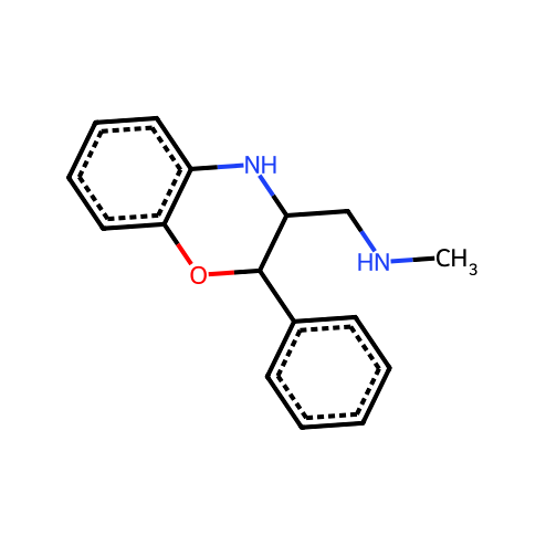 CNCC1Nc2ccccc2OC1c1ccccc1